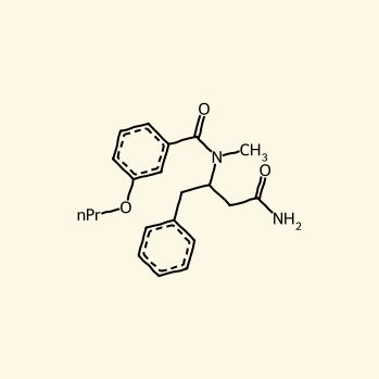 CCCOc1cccc(C(=O)N(C)C(CC(N)=O)Cc2ccccc2)c1